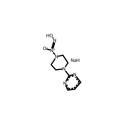 [NaH].[O-][N+](=NO)N1CCN(c2ncccn2)CC1